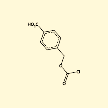 O=C(Cl)OCc1ccc(C(=O)O)cc1